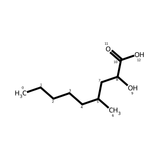 CCCCCC(C)CC(O)C(=O)O